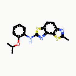 Cc1nc2ccc3sc(Nc4ccccc4OC(C)C)nc3c2s1